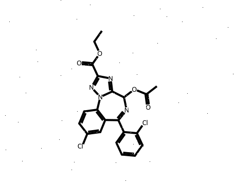 CCOC(=O)c1nc2n(n1)-c1ccc(Cl)cc1C(c1ccccc1Cl)=NC2OC(C)=O